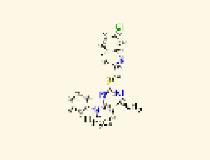 C=CC1=C(N(C)c2ccccc2)N=C(SCC2=Nc3cc(Cl)ccc3C2)NC1=C